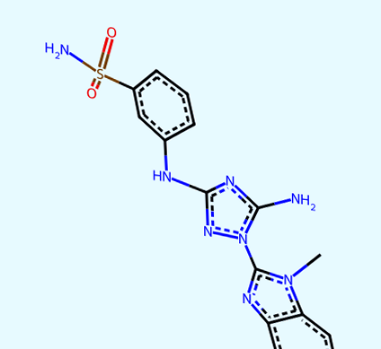 Cn1c(-n2nc(Nc3cccc(S(N)(=O)=O)c3)nc2N)nc2ccccc21